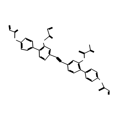 C=CC(=O)Oc1ccc(-c2ccc(C#Cc3ccc(-c4ccc(OC(=O)C=C)cc4)c(OC(=O)C(=C)C)c3)cc2OC(=O)C=C)cc1